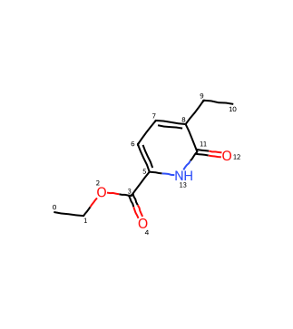 CCOC(=O)c1ccc(CC)c(=O)[nH]1